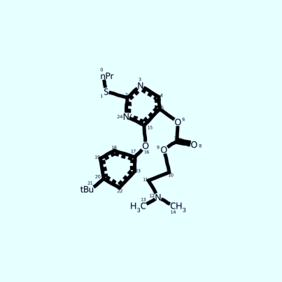 CCCSc1ncc(OC(=O)OCCN(C)C)c(Oc2ccc(C(C)(C)C)cc2)n1